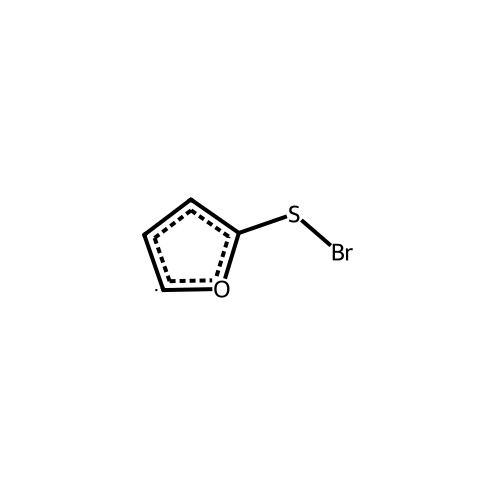 BrSc1cc[c]o1